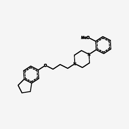 COc1ccccc1N1CCN(CCCOc2ccc3c(c2)CCC3)CC1